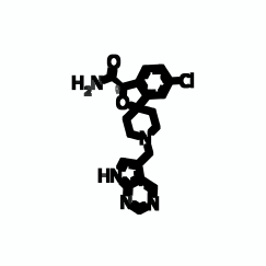 NC(=O)[C@@H]1OC2(CCN(Cc3c[nH]c4ncncc34)CC2)c2cc(Cl)ccc21